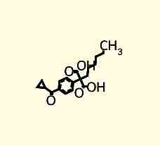 CCCCCCC(C(=O)O)(C(=O)O)c1ccc(C(=O)C2CC2)cc1